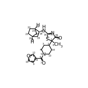 CC1(C2CCN(C(=O)c3ccoc3)CC2)SC(N[C@H]2C[C@@H]3CC[C@H]2C3)=NC1=O